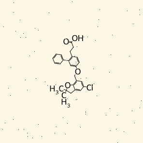 CC1(C)Cc2cc(Cl)cc(COc3ccc(CCC(=O)O)c(-c4ccccc4)c3)c2O1